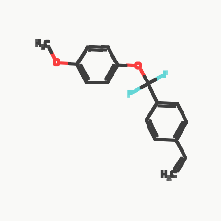 C=Cc1ccc(C(F)(F)Oc2ccc(OC)cc2)cc1